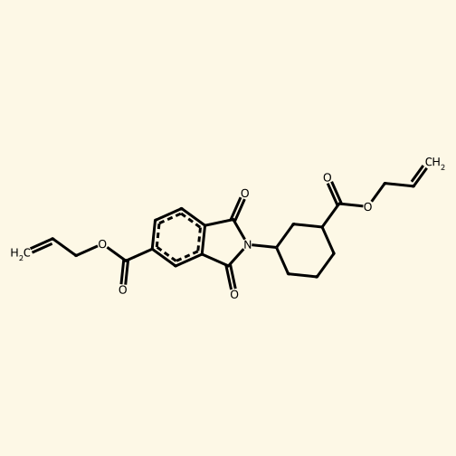 C=CCOC(=O)c1ccc2c(c1)C(=O)N(C1CCCC(C(=O)OCC=C)C1)C2=O